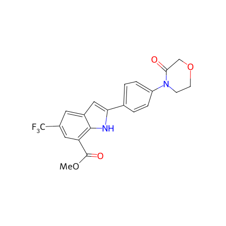 COC(=O)c1cc(C(F)(F)F)cc2cc(-c3ccc(N4CCOCC4=O)cc3)[nH]c12